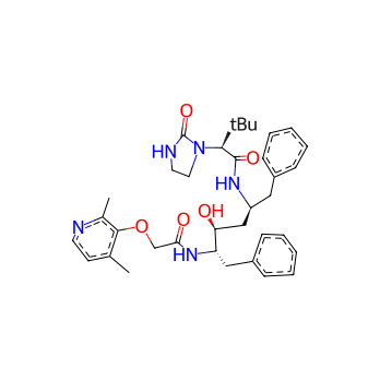 Cc1ccnc(C)c1OCC(=O)N[C@@H](Cc1ccccc1)[C@@H](O)C[C@H](Cc1ccccc1)NC(=O)[C@@H](N1CCNC1=O)C(C)(C)C